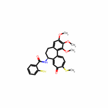 COc1cc2c(c(OC)c1OC)-c1ccc(SC)c(=O)cc1[C@@H](NC(=O)c1ccccc1S)CC2